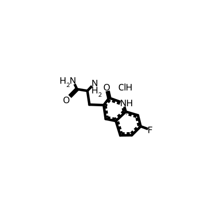 Cl.NC(=O)C(N)Cc1cc2ccc(F)cc2[nH]c1=O